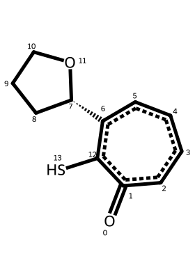 O=c1ccccc([C@@H]2CCCO2)c1S